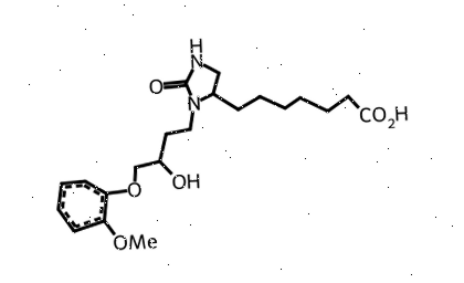 COc1ccccc1OCC(O)CCN1C(=O)NCC1CCCCCCC(=O)O